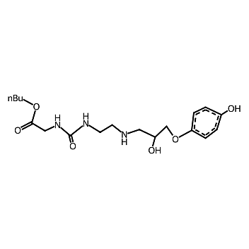 CCCCOC(=O)CNC(=O)NCCNCC(O)COc1ccc(O)cc1